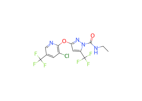 CCNC(=O)n1nc(Oc2ncc(C(F)(F)F)cc2Cl)cc1C(F)(F)F